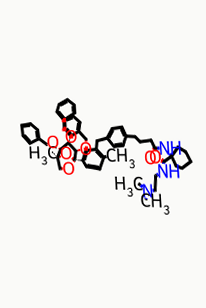 Cc1ccc([C@]23OC[C@](C)(O2)[C@@H](OCc2ccccc2)[C@H](OCc2ccccc2)[C@H]3OCc2ccccc2)cc1Cc1ccc(CCCC(=O)NC2(C(=O)NCCN(C)C)CCCCC2)cc1